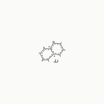 [Li].c1ccc2ccccc2c1